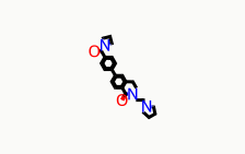 O=C(c1ccc(-c2ccc3c(c2)CCN(CCN2CCCC2)C3=O)cc1)N1CCC1